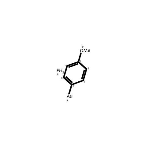 COc1cc[c]([Au])cc1.P